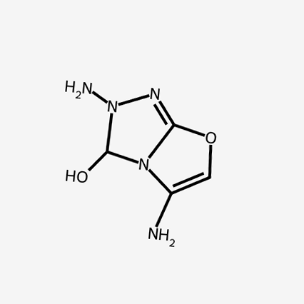 NC1=COC2=NN(N)C(O)N12